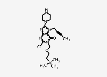 CC#CCn1c(N2CCNCC2)nc2nc(Cl)n(COCC[Si](C)(C)C)c(=O)c21